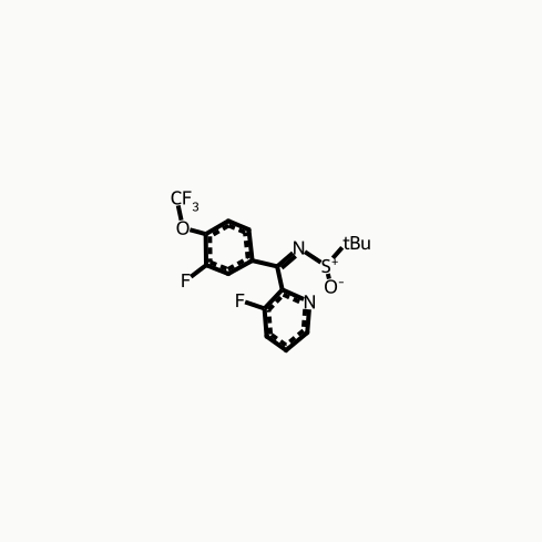 CC(C)(C)[S+]([O-])N=C(c1ccc(OC(F)(F)F)c(F)c1)c1ncccc1F